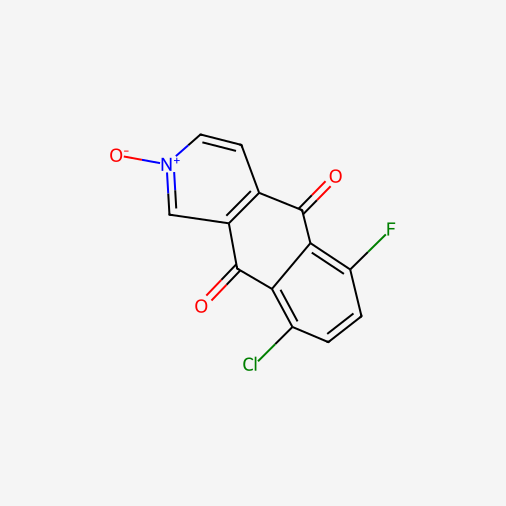 O=C1c2cc[n+]([O-])cc2C(=O)c2c(Cl)ccc(F)c21